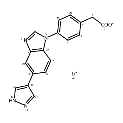 O=C([O-])Cc1ccc(-n2cnc3cc(-c4cn[nH]c4)ccc32)cc1.[Li+]